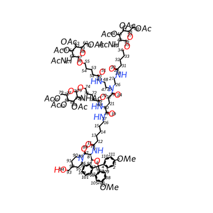 COc1ccc(C(OC[C@H](NC(=O)CCCCCNC(=O)[C@H](CCC(=O)N(CCNC(=O)CCCCOC2OC(COC(C)=O)C(OC(C)=O)C(OC(C)=O)C2NC(C)=O)CCNC(=O)CCCCOC2OC(COC(C)=O)C(OC(C)=O)C(OC(C)=O)C2NC(C)=O)NC(=O)CCCCOC2OC(COC(C)=O)C(OC(C)=O)C(OC(C)=O)C2NC(C)=O)C(=O)N2CCC(CO)CC2)(c2ccccc2)c2ccc(OC)cc2)cc1